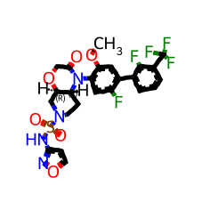 COc1cc(-c2cccc(C(F)(F)F)c2F)c(F)cc1N1C(=O)CO[C@@H]2CN(S(=O)(=O)Nc3ccon3)CC[C@H]21